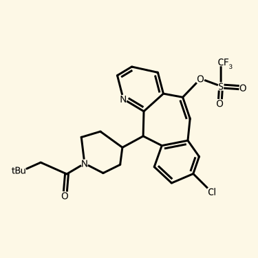 CC(C)(C)CC(=O)N1CCC(C2c3ccc(Cl)cc3C=C(OS(=O)(=O)C(F)(F)F)c3cccnc32)CC1